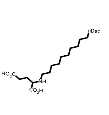 CCCCCCCCCCCCCCCCCCCCNC(CCC(=O)O)C(=O)O